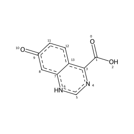 O=C(O)c1nc[nH]c2cc(=O)ccc1-2